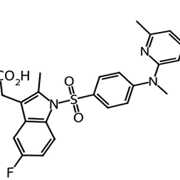 Cc1cccc(N(C)c2ccc(S(=O)(=O)n3c(C)c(CC(=O)O)c4cc(F)ccc43)cc2)n1